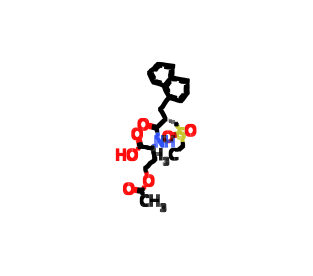 CCS(=O)(=O)C[C@@H](Cc1cccc2ccccc12)C(=O)N[C@@H](CCOC(C)=O)C(=O)O